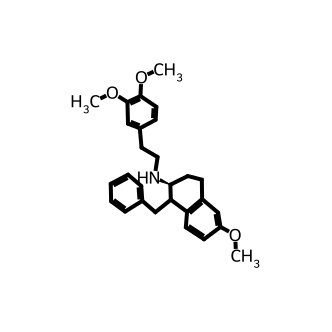 COc1ccc2c(c1)CC[C@H](NCCc1ccc(OC)c(OC)c1)C2Cc1ccccc1